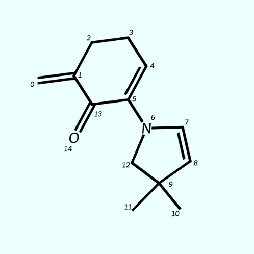 C=C1CCC=C(N2C=CC(C)(C)C2)C1=O